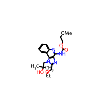 CCOCc1nc2c(NC(=O)OCCOC)nc3ccccc3c2n1CC(C)(C)O